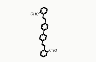 O=Cc1ccccc1/C=C/c1ccc(-c2ccc(/C=C/c3ccccc3C=O)cc2)cc1